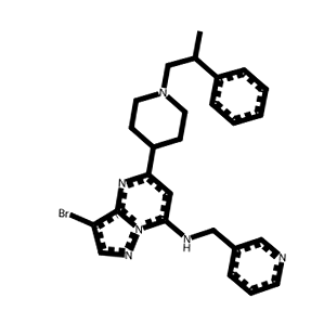 CC(CN1CCC(c2cc(NCc3cccnc3)n3ncc(Br)c3n2)CC1)c1ccccc1